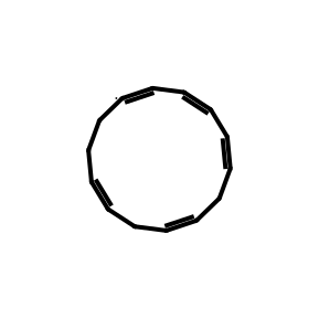 [C]1=CC=CC=CCC=CCC=CCC1